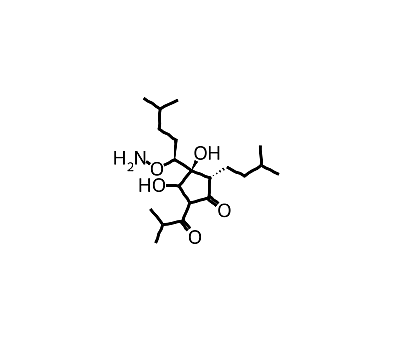 CC(C)CC[C@H](ON)[C@@]1(O)C(O)C(C(=O)C(C)C)C(=O)[C@H]1CCC(C)C